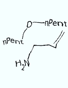 C=CCN.CCCCCOCCCCC